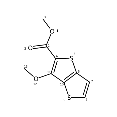 COC(=O)c1sc2ccsc2c1OC